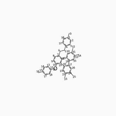 Cc1ccc(CCc2ccc(Oc3ccc(C)cc3)c(-c3cc(C)c(C)cc3-c3ccc(C)c(C)c3)c2)cc1